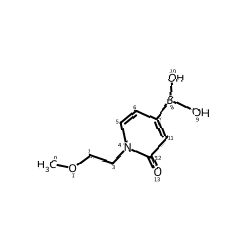 COCCn1ccc(B(O)O)cc1=O